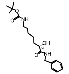 CC(C)(C)OC(=O)NCCCCC[C@H](O)C(=O)NCc1ccccc1